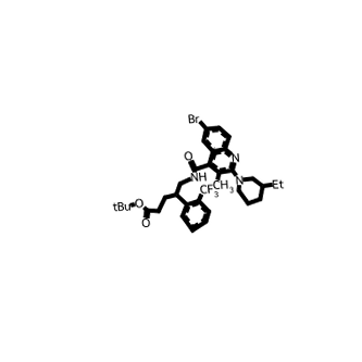 CCC1CCCN(c2nc3ccc(Br)cc3c(C(=O)NCC(CCC(=O)OC(C)(C)C)c3ccccc3C(F)(F)F)c2C)C1